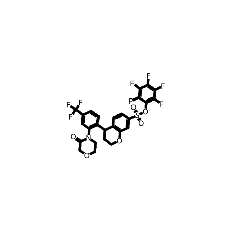 O=C1COCCN1c1cc(C(F)(F)F)ccc1C1CCOc2cc(S(=O)(=O)Oc3c(F)c(F)c(F)c(F)c3F)ccc21